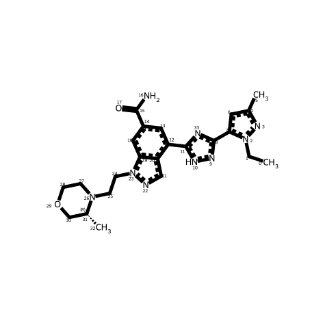 CCn1nc(C)cc1-c1n[nH]c(-c2cc(C(N)=O)cc3c2cnn3CCN2CCOC[C@H]2C)n1